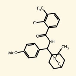 COc1ccc(C(NC(=O)c2cccc(C(F)(F)F)c2Cl)C23CCC(CC2)CN3C)cc1